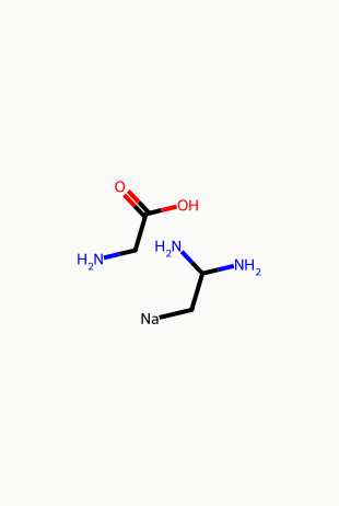 NC(N)[CH2][Na].NCC(=O)O